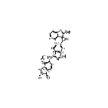 [2H]C1=Nc2ccccc2C12CC2c1ccc2c(Nc3ccc4c(c3OC)CN(C)C4=O)n[nH]c2c1